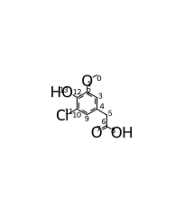 COc1cc(CC(=O)O)cc(Cl)c1O